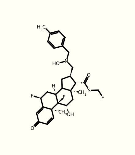 Cc1ccc(CN(O)C[C@@H]2CC3[C@@H]4C[C@H](F)C5=CC(=O)C=C[C@]5(C)[C@@]4(F)[C@@H](O)C[C@]3(C)[C@H]2C(=O)SCF)cc1